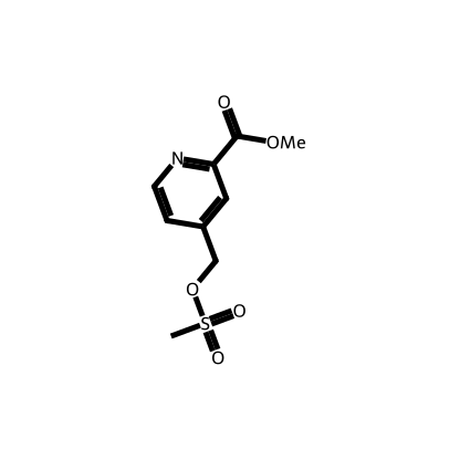 COC(=O)c1cc(COS(C)(=O)=O)ccn1